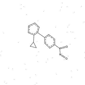 O=NC(=O)c1ccc(-c2ccccc2C2CC2)cc1